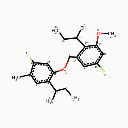 CCC(C)c1cc(C)c(F)cc1OCc1cc(F)cc(OC)c1C(C)CC